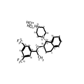 CC(O[C@@H]1CCc2ccccc2[C@H]1N1CCNCC1)c1cc(C(F)(F)F)cc(C(F)(F)F)c1.Cl.Cl